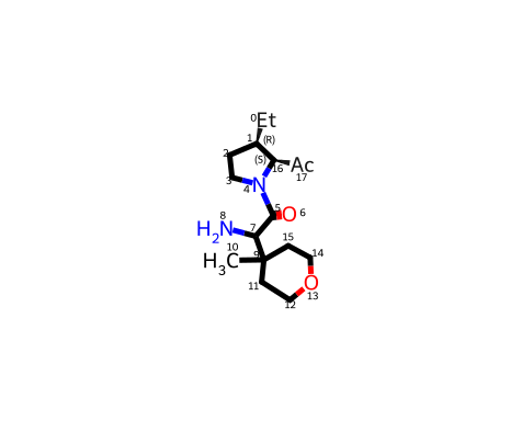 CC[C@@H]1CCN(C(=O)C(N)C2(C)CCOCC2)[C@@H]1C(C)=O